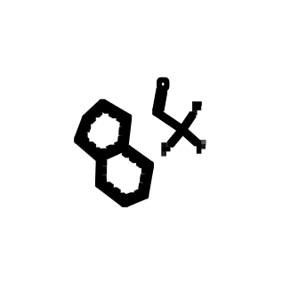 O=CC(F)(F)F.c1ccc2ccccc2c1